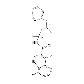 C/C(=C/c1ccccc1)CC(C)(C)NC(=O)c1cnc2c(F)cccc2c1C